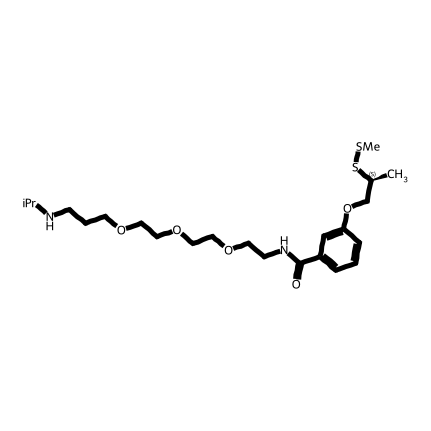 CSS[C@@H](C)COc1cccc(C(=O)NCCOCCOCCOCCCNC(C)C)c1